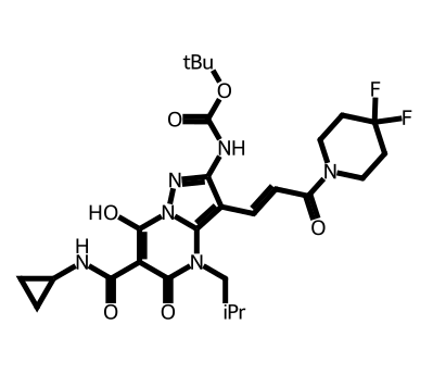 CC(C)Cn1c(=O)c(C(=O)NC2CC2)c(O)n2nc(NC(=O)OC(C)(C)C)c(/C=C/C(=O)N3CCC(F)(F)CC3)c12